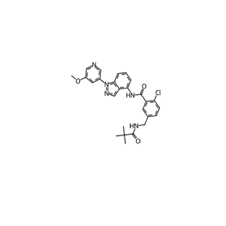 COc1cncc(-n2ncc3c(NC(=O)c4cc(CNC(=O)C(C)(C)C)ccc4Cl)cccc32)c1